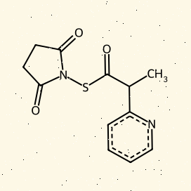 CC(C(=O)SN1C(=O)CCC1=O)c1ccccn1